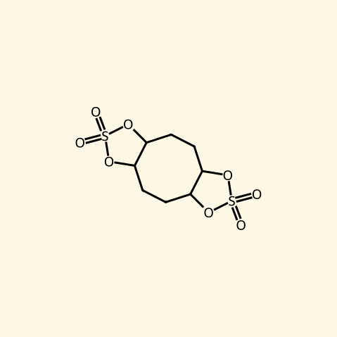 O=S1(=O)OC2CCC3OS(=O)(=O)OC3CCC2O1